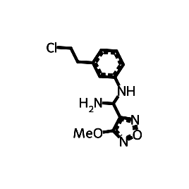 COc1nonc1C(N)Nc1cccc(CCCl)c1